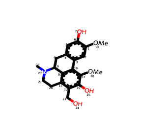 COc1cc2c(cc1O)CC1c3c(c(CO)c(O)c(OC)c3-2)CCN1C